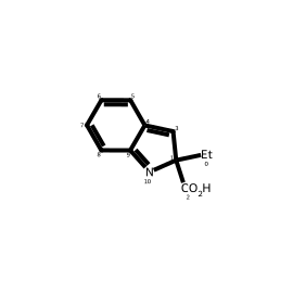 CCC1(C(=O)O)C=c2ccccc2=N1